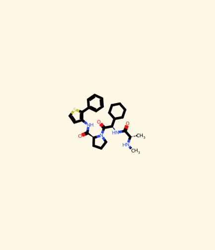 CN[C@@H](C)C(=O)N[C@H](C(=O)N1CCC[C@H]1C(=O)Nc1ccsc1-c1ccccc1)C1CCCCC1